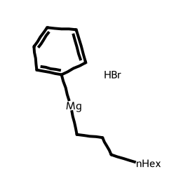 Br.CCCCCCCC[CH2][Mg][c]1ccccc1